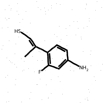 C/C(=C\S)c1ccc(N)cc1F